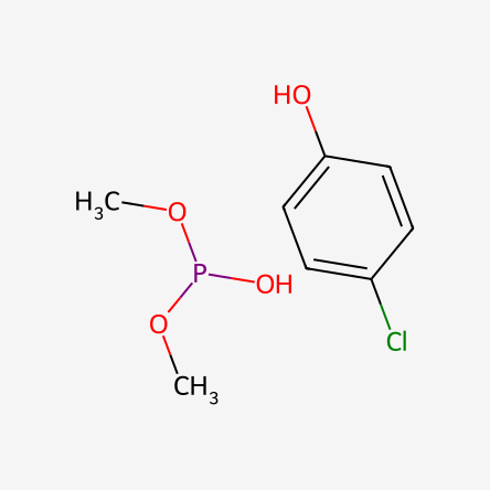 COP(O)OC.Oc1ccc(Cl)cc1